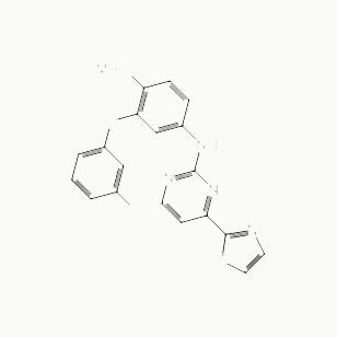 COc1ccc(Nc2nccc(-c3nccs3)n2)cc1Oc1cccc(Cl)c1